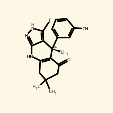 CC1(C)CC(=O)C2=C(C1)Nc1n[nH]c(F)c1[C@]2(C)c1cccc(C#N)c1